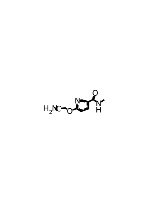 CNC(=O)c1ccc(OCCN)nc1